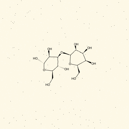 OC[C@H]1O[C@@H](O[C@@H]2[C@H](O)[C@@H](O)O[C@H](CO)[C@H]2O)[C@@H](O)[C@@H](O)[C@H]1O